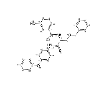 O=C(NC(COCc1ccccc1)C(=O)Nc1ccc(Oc2ccccc2)cc1)c1cccc(O)n1